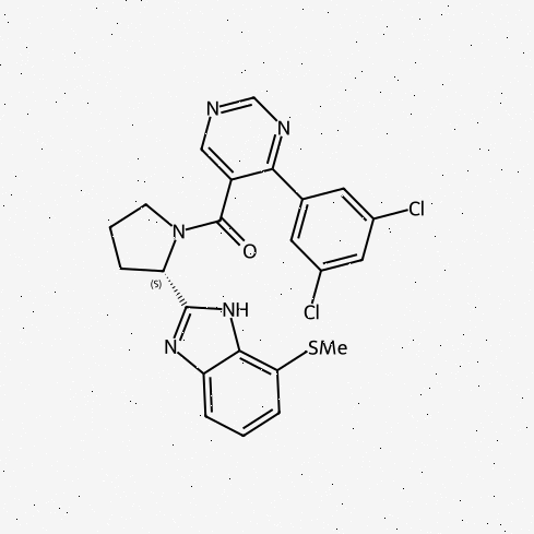 CSc1cccc2nc([C@@H]3CCCN3C(=O)c3cncnc3-c3cc(Cl)cc(Cl)c3)[nH]c12